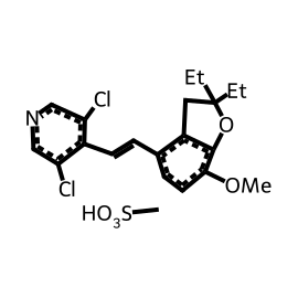 CCC1(CC)Cc2c(C=Cc3c(Cl)cncc3Cl)ccc(OC)c2O1.CS(=O)(=O)O